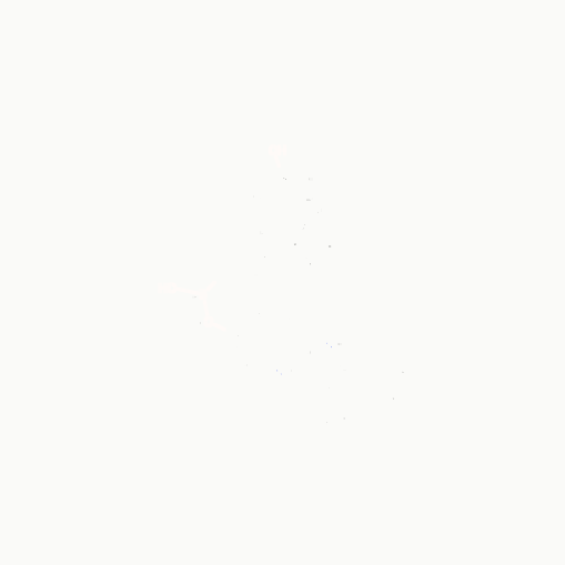 CC(C)[Si](C(C)C)(C(C)C)n1ccc2c3c(cnc21)OB(O)C=C3C1C2CC3CC1CC(O)(C3)C2